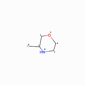 [CH]C1COCCN1